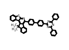 CC1(C)c2ccccc2-c2c(-c3ccc(-c4ccc(-c5nc(-c6ccccc6)nc(-c6ccccc6)n5)cc4)cc3)nc3sc4ccccc4c3c21